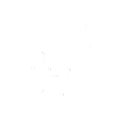 CC(C)(C)CN(Cc1ccc(I)cc1)c1ccnc(Cl)n1